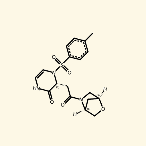 Cc1ccc(S(=O)(=O)N2C=CNC(=O)[C@H]2CC(=O)N2C[C@@H]3C[C@H]2CO3)cc1